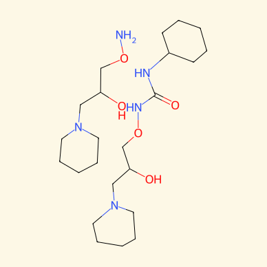 NOCC(O)CN1CCCCC1.O=C(NOCC(O)CN1CCCCC1)NC1CCCCC1